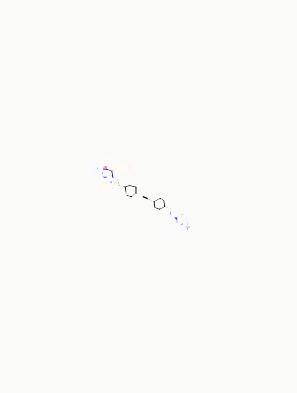 CC(=O)N1CC[C@@H](NCc2ccc(C#Cc3ccc([C@H](CO)Cc4nc[nH]c(=O)c4O)cc3)cc2)C1